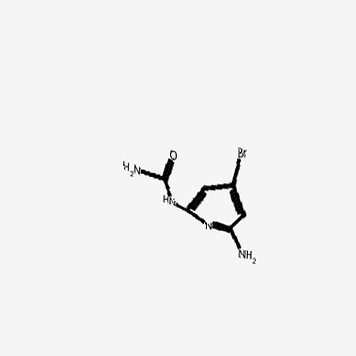 NC(=O)Nc1cc(Br)cc(N)n1